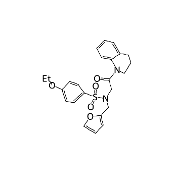 CCOc1ccc(S(=O)(=O)N(CC(=O)N2CCCc3ccccc32)Cc2ccco2)cc1